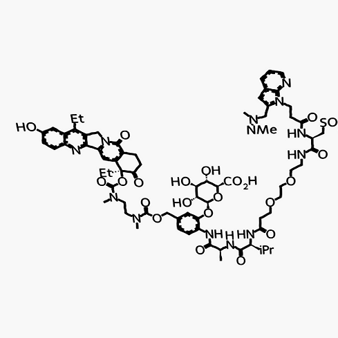 CCc1c2c(nc3ccc(O)cc13)-c1cc3c(c(=O)n1C2)CCC(=O)[C@@]3(CC)OC(=O)N(C)CCN(C)C(=O)OCc1ccc(NC(=O)[C@H](C)NC(=O)[C@@H](NC(=O)CCOCCOCCNC(=O)[C@H](CS(=O)(=O)O)NC(=O)CCn2c(CN(C)NC)cc3cccnc32)C(C)C)c(O[C@@H]2O[C@H](C(=O)O)[C@@H](O)[C@H](O)[C@H]2O)c1